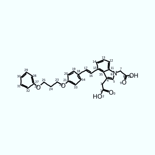 O=C(O)Cc1cn(CC(=O)O)c2cccc(C=Cc3ccc(OCCCOc4ccccc4)cc3)c12